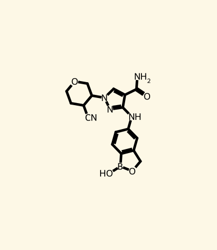 N#CC1CCOCC1n1cc(C(N)=O)c(Nc2ccc3c(c2)COB3O)n1